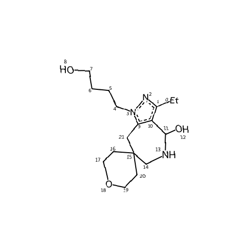 CCc1nn(CCCCO)c2c1C(O)NCC1(CCOCC1)C2